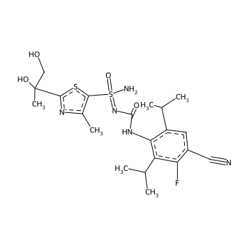 Cc1nc(C(C)(O)CO)sc1S(N)(=O)=NC(=O)Nc1c(C(C)C)cc(C#N)c(F)c1C(C)C